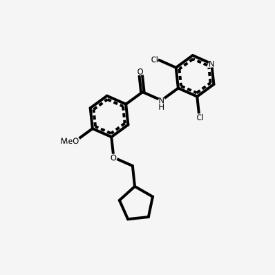 COc1ccc(C(=O)Nc2c(Cl)cncc2Cl)cc1OCC1CCCC1